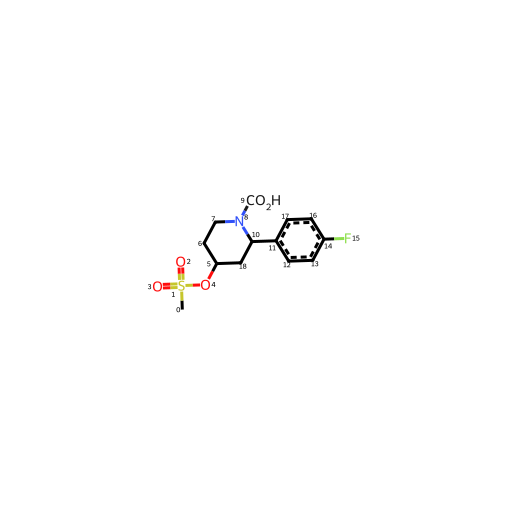 CS(=O)(=O)OC1CCN(C(=O)O)C(c2ccc(F)cc2)C1